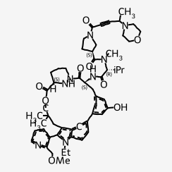 CCn1c(-c2cccnc2COC)c2c3cc(ccc31)-c1cc(O)cc(c1)C[C@H](NC(=O)[C@@H](C(C)C)N(C)C(=O)[C@H]1CCN(C(=O)C#CC(C)N3CCOCC3)C1)C(=O)N1CCC[C@H](N1)C(=O)OCC(C)(C)C2